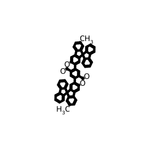 Cc1ccc2c(c1)C1(c3ccccc3-c3ccccc31)c1cc3c(cc1-2)oc(=O)c1cc2c(cc13)c(=O)oc1cc3c(cc12)C1(c2ccccc2-c2ccccc21)c1cc(C)ccc1-3